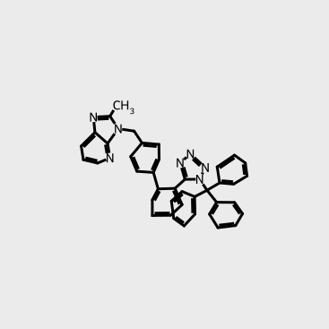 Cc1nc2cccnc2n1Cc1ccc(-c2ccccc2-c2nnnn2C(c2ccccc2)(c2ccccc2)c2ccccc2)cc1